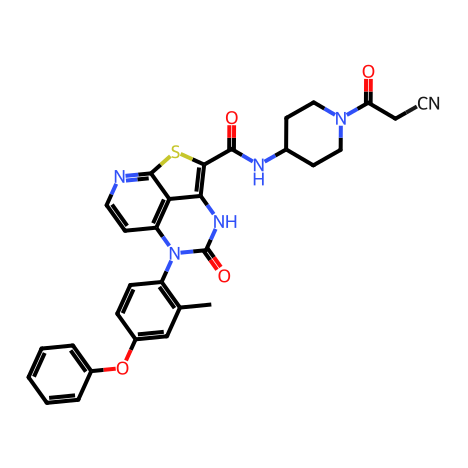 Cc1cc(Oc2ccccc2)ccc1N1C(=O)Nc2c(C(=O)NC3CCN(C(=O)CC#N)CC3)sc3nccc1c23